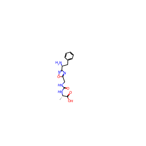 C[C@H](NC(=O)NCc1nc([C@@H](N)Cc2ccccc2)no1)C(=O)O